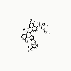 CSC[C@H](C)NC(=O)c1cc(C)cc(C)c1NC(=O)c1cc(Cn2nnc(C(F)(F)F)n2)nn1-c1ncccc1Cl